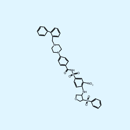 O=C(NS(=O)(=O)c1ccc(NC2COCC2S(=O)(=O)c2ccccc2)c([N+](=O)[O-])c1)c1ccc(N2CCN(Cc3ccccc3-c3ccccc3)CC2)cc1